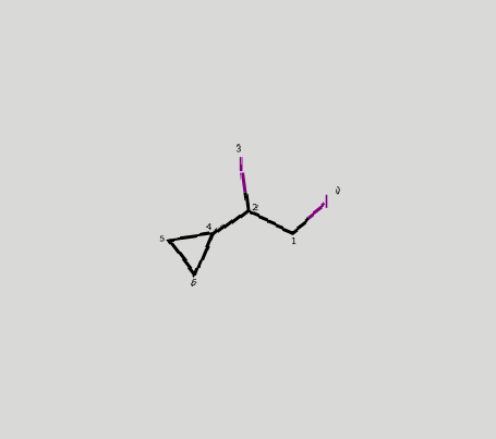 ICC(I)C1CC1